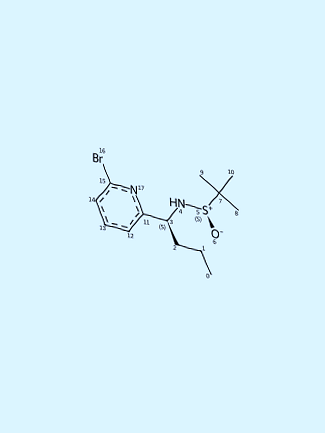 CCC[C@H](N[S@+]([O-])C(C)(C)C)c1cccc(Br)n1